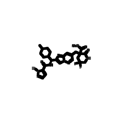 CCn1nccc1C(=O)N[C@H](c1cn2ncc(CC3(C(=O)OC)CC(F)(F)CNC3=O)cc2n1)C1CCC(C)CC1